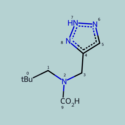 CC(C)(C)CN(Cc1cn[nH]n1)C(=O)O